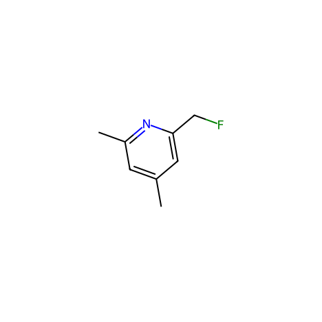 Cc1cc(C)nc(CF)c1